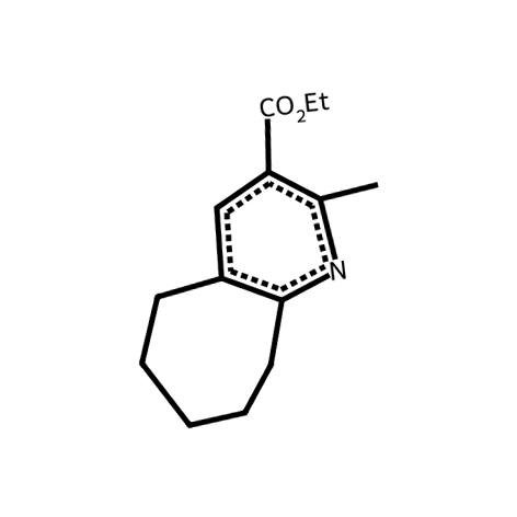 CCOC(=O)c1cc2c(nc1C)CCCCC2